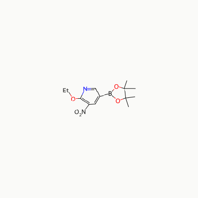 CCOc1ncc(B2OC(C)(C)C(C)(C)O2)cc1[N+](=O)[O-]